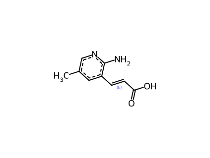 Cc1cnc(N)c(/C=C/C(=O)O)c1